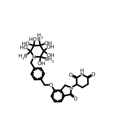 BC1(O)N(Cc2ccc(COc3cccc4c3CN(C3CCC(=O)NC3=O)C4=O)cc2)C(B)(O)C(O)(O)C(B)(O)C1(O)O